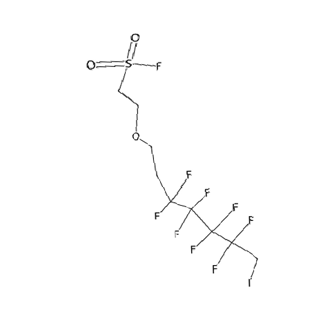 O=S(=O)(F)CCOCCC(F)(F)C(F)(F)C(F)(F)C(F)(F)CI